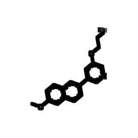 COc1ccc2cc(-c3cncc(OCC[18F])c3)ccc2c1